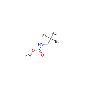 CCCOC(=O)NCC(CC)(CC)C(C)=O